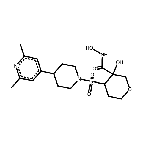 Cc1cc(C2CCN(S(=O)(=O)C3CCOCC3(O)C(=O)NO)CC2)cc(C)n1